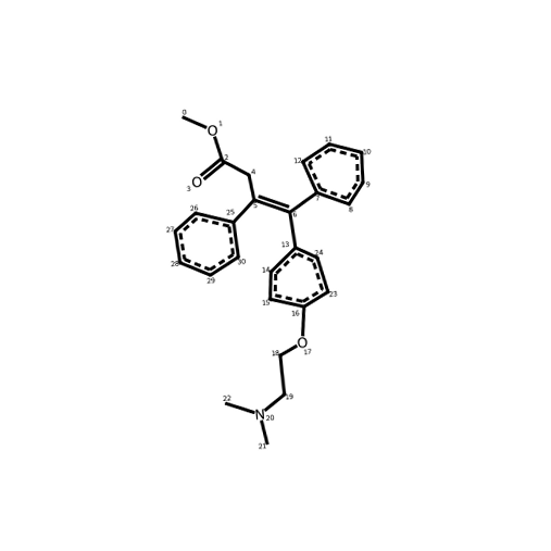 COC(=O)C/C(=C(\c1ccccc1)c1ccc(OCCN(C)C)cc1)c1ccccc1